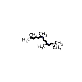 CC(C)=CCC/C(C)=C\CC/C(C)=C\CN(C)C